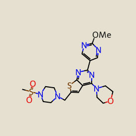 COc1ncc(-c2nc(N3CCOCC3)c3cc(CN4CCN(S(C)(=O)=O)CC4)sc3n2)cn1